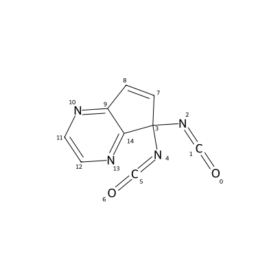 O=C=NC1(N=C=O)C=Cc2nccnc21